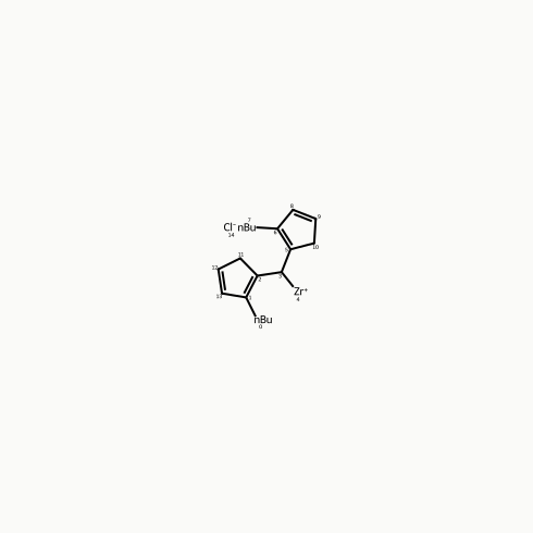 CCCCC1=C([CH]([Zr+])C2=C(CCCC)C=CC2)CC=C1.[Cl-]